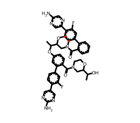 CC(O)C1CN(C(=O)c2ccc(OC(C)C3CN(C(=O)c4ccccc4-c4ccc(-c5cnc(N)cn5)c(F)c4)CCO3)cc2-c2ccc(-c3cnc(N)nc3)c(F)c2)CCO1